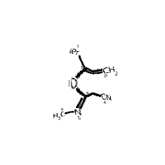 C=C(O/C(C#N)=N\C)C(C)C